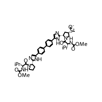 COC(=O)N[C@H](C(=O)N1CCC[C@H]1c1ncc(-c2ccc(-c3ccc(-c4cnc([C@@H]5C[C@H]([S+](C)[O-])CN5C(=O)[C@@H](NC(=O)OC)C(C)C)[nH]4)cc3)cc2)[nH]1)C(C)C